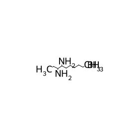 B.CCCCCCC(N)C(N)CC